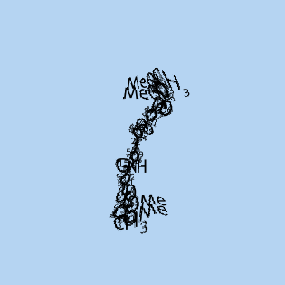 COc1c(C)ccc(C(=O)Oc2ccc(C(=O)Nc3ccc(C#Cc4ccc(OC(=O)c5ccc(OC(=O)c6ccc(C)c(OC)c6OC)cc5)cc4)cc3)cc2)c1OC